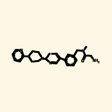 C/C=C(\C=N/C(C)N1CCC(c2ccccn2)CC1)c1cccc(CN(C)C(=O)CN)c1